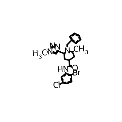 CC1CC(C(=O)Nc2cc(Cl)ccc2Br)CC(c2cn(C)nn2)N1Cc1ccccc1